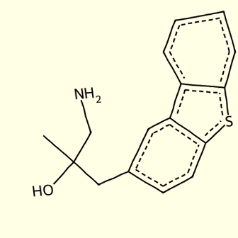 CC(O)(CN)Cc1ccc2sc3ccccc3c2c1